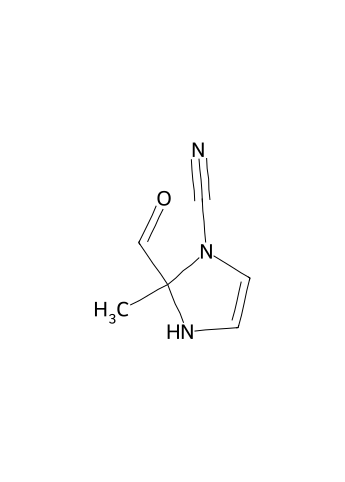 CC1(C=O)NC=CN1C#N